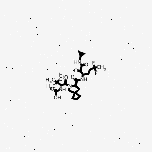 CC(F)(F)CCC(NC(=O)C1CC2(CCC2)CN1C(=O)[C@@H](NC(=O)O)C(C)(C)C)C(=O)C(=O)NC1CC1